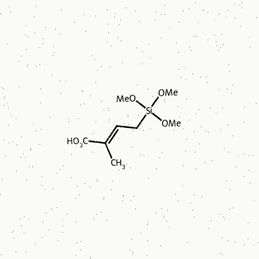 CO[Si](CC=C(C)C(=O)O)(OC)OC